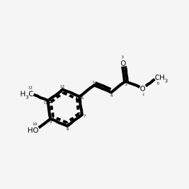 COC(=O)/C=C/c1ccc(O)c(C)c1